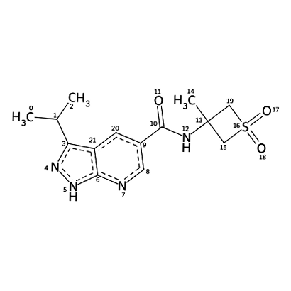 CC(C)c1n[nH]c2ncc(C(=O)NC3(C)CS(=O)(=O)C3)cc12